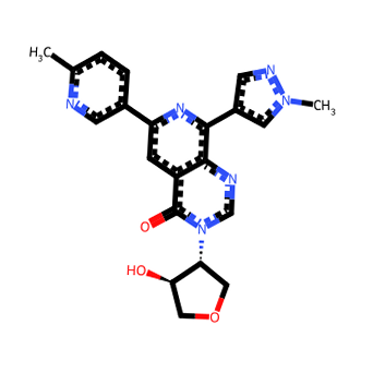 Cc1ccc(-c2cc3c(=O)n([C@@H]4COC[C@H]4O)cnc3c(-c3cnn(C)c3)n2)cn1